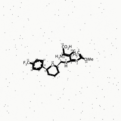 C=C(/N=C(NC[C@H]1CCC[C@@H](c2ccc(C(F)(F)F)cc2)O1)\C(C)=C(/N)C(=O)O)OC